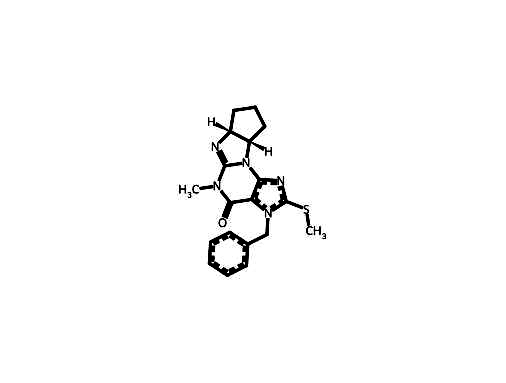 CSc1nc2c(n1Cc1ccccc1)C(=O)N(C)C1=N[C@@H]3CCC[C@@H]3N12